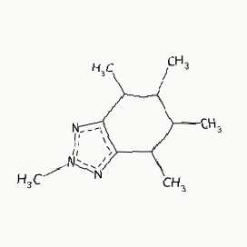 CC1c2nn(C)nc2C(C)C(C)C1C